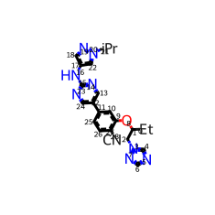 CCC(Cn1cncn1)Oc1cc(-c2cnc(Nc3cnn(C(C)C)c3)nc2)ccc1C#N